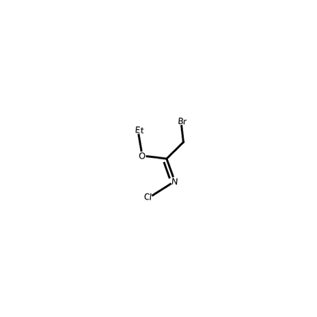 CCO/C(CBr)=N\Cl